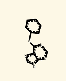 c1ccc(Oc2ncnc3[nH]cnc23)cc1